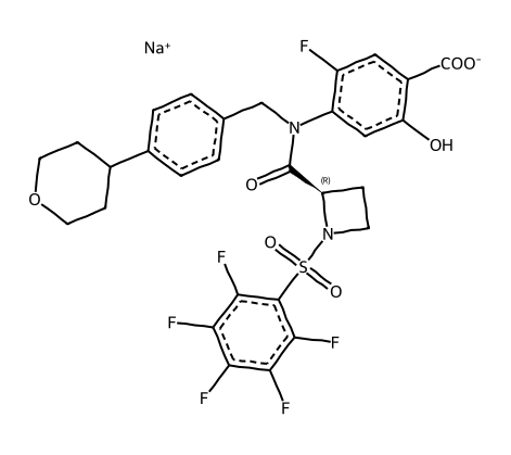 O=C([O-])c1cc(F)c(N(Cc2ccc(C3CCOCC3)cc2)C(=O)[C@H]2CCN2S(=O)(=O)c2c(F)c(F)c(F)c(F)c2F)cc1O.[Na+]